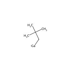 CC(C)(C)[CH2][Ga]